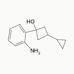 Nc1ccccc1C1(O)CC(C2CC2)C1